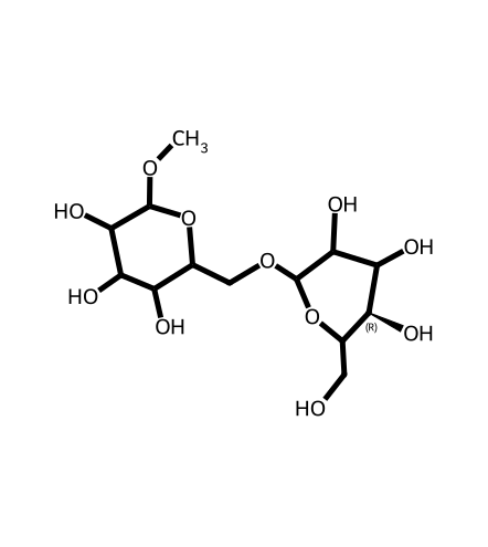 COC1OC(COC2OC(CO)[C@H](O)C(O)C2O)C(O)C(O)C1O